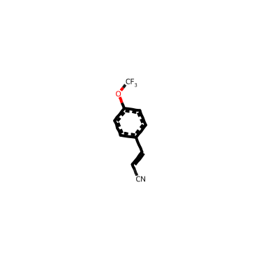 N#CC=Cc1ccc(OC(F)(F)F)cc1